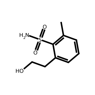 Cc1cccc(CCO)c1S(N)(=O)=O